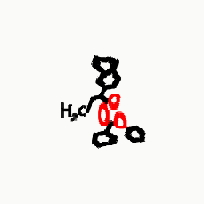 C=CCC(C(=O)OC(Oc1ccccc1)c1ccccc1)c1ccc2ccccc2c1